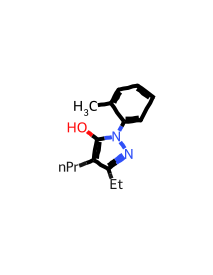 CCCc1c(CC)nn(-c2ccccc2C)c1O